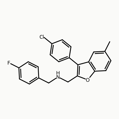 Cc1ccc2oc(CNCc3ccc(F)cc3)c(-c3ccc(Cl)cc3)c2c1